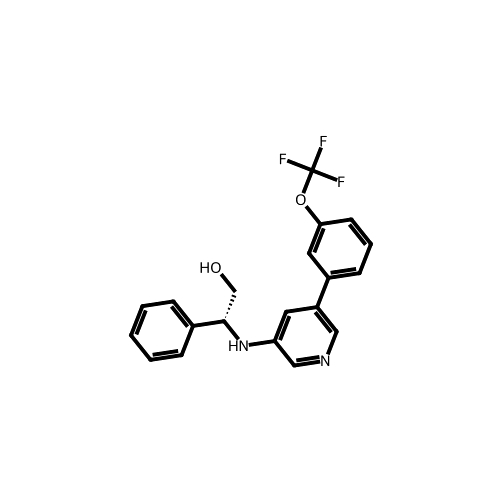 OC[C@H](Nc1cncc(-c2cccc(OC(F)(F)F)c2)c1)c1ccccc1